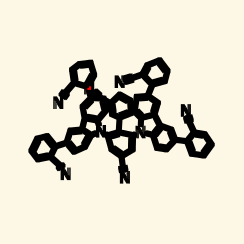 N#Cc1cccc(-c2c(-n3c4ccc(-c5ccccc5C#N)cc4c4cc(-c5ccccc5C#N)ccc43)cc(C#N)cc2-n2c3ccc(-c4ccccc4C#N)cc3c3cc(-c4ccccc4C#N)ccc32)c1